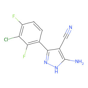 N#Cc1c(-c2ccc(F)c(Cl)c2F)n[nH]c1N